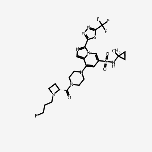 CC1(NS(=O)(=O)c2cc(N3CCN(C(=O)[C@H]4CCN4CCCF)CC3)c3cnc(-c4nnc(C(F)(F)F)s4)n3c2)CC1